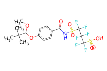 COC(Oc1ccc(C(=O)NS(=O)(=O)C(F)(F)C(F)(F)C(F)(F)S(=O)(=O)O)cc1)C(C)(C)C